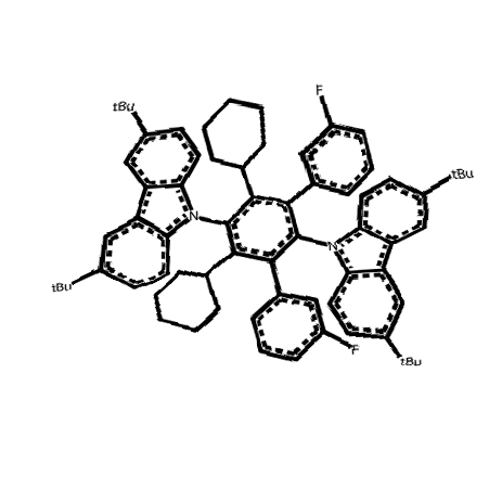 CC(C)(C)c1ccc2c(c1)c1cc(C(C)(C)C)ccc1n2-c1c(-c2cccc(F)c2)c(C2CCCCC2)c(-n2c3ccc(C(C)(C)C)cc3c3cc(C(C)(C)C)ccc32)c(C2CCCCC2)c1-c1cccc(F)c1